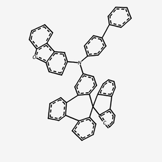 c1ccc(-c2ccc(N(c3ccc4c(c3)-c3ccccc3-c3ccccc3C43c4ccccc4-c4ccccc43)c3ccc4oc5ccccc5c4c3)cc2)cc1